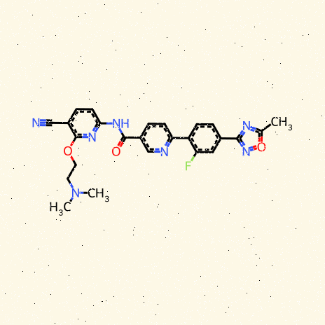 Cc1nc(-c2ccc(-c3ccc(C(=O)Nc4ccc(C#N)c(OCCN(C)C)n4)cn3)c(F)c2)no1